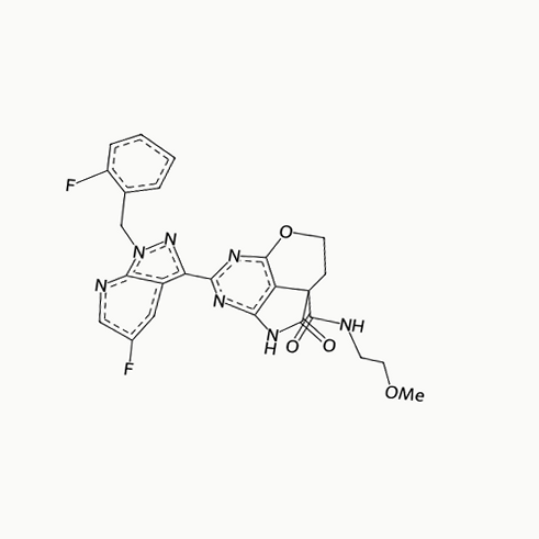 COCCNC(=O)C12CCOc3nc(-c4nn(Cc5ccccc5F)c5ncc(F)cc45)nc(c31)NC2=O